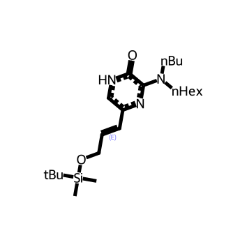 CCCCCCN(CCCC)c1nc(/C=C/CO[Si](C)(C)C(C)(C)C)c[nH]c1=O